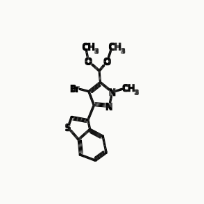 COC(OC)c1c(Br)c(-c2csc3ccccc23)nn1C